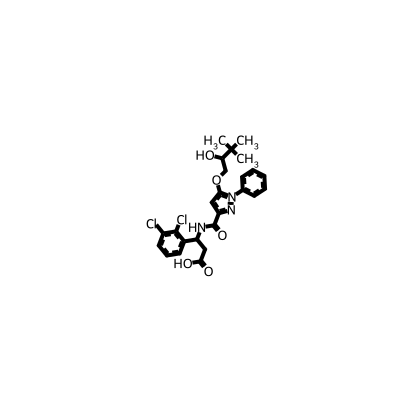 CC(C)(C)C(O)COc1cc(C(=O)NC(CC(=O)O)c2cccc(Cl)c2Cl)nn1-c1ccccc1